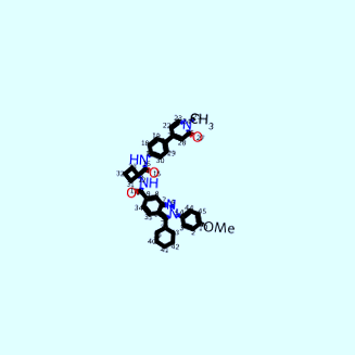 COc1ccc(-n2nc3cc(C(=O)NC4(C(=O)Nc5ccc(-c6ccn(C)c(=O)c6)cc5)CCC4)ccc3c2C2CCCCC2)cc1